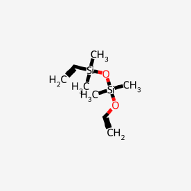 C=CO[Si](C)(C)O[Si](C)(C)C=C